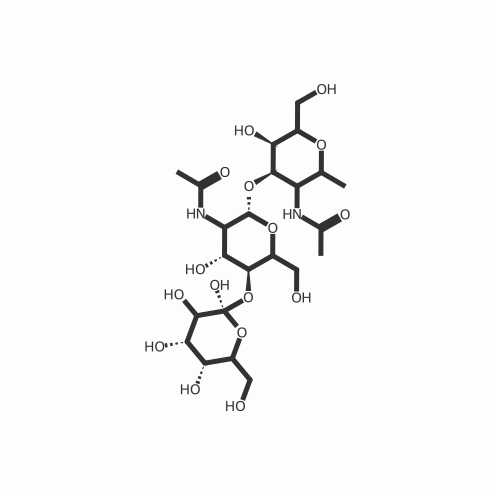 CC(=O)NC1[C@H](O[C@@H]2C(NC(C)=O)C(C)OC(CO)[C@@H]2O)OC(CO)[C@@H](O[C@@]2(O)OC(CO)[C@H](O)[C@H](O)C2O)[C@@H]1O